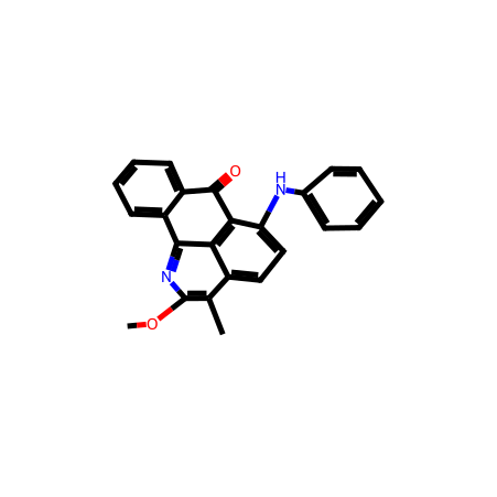 COc1nc2c3c(c(Nc4ccccc4)ccc3c1C)C(=O)c1ccccc1-2